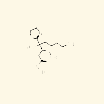 CCCCCC(C)(C1=NCCS1)C(CC)CC(=O)OC